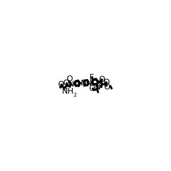 CCOC(=O)c1cn2c3c(c(N4CCN(c5ccc(N6CC([C@H](N)C(C)=O)OC6=O)cc5)CC4)c(F)cc3c1=O)OCC2C